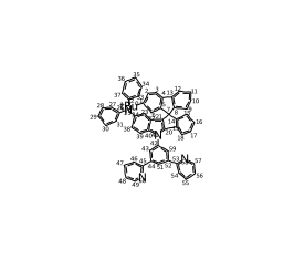 CC(C)(C)c1ccc2c(c1)C1(c3ccccc3-2)c2ccccc2-c2c1c1cc(N(c3ccccc3)c3ccccc3)ccc1n2-c1cc(-c2ccccn2)cc(-c2ccccn2)c1